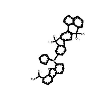 CC(C)c1cccc2c1oc1c(N(c3ccccc3)c3ccc4c(c3)C(C)(C)c3cc5c(cc3-4)C(C)(C)c3cccc4cccc-5c34)cccc12